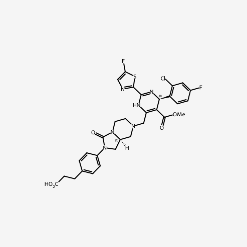 COC(=O)C1=C(CN2CCN3C(=O)N(c4ccc(CCC(=O)O)cc4)C[C@@H]3C2)NC(c2ncc(F)s2)=N[C@H]1c1ccc(F)cc1Cl